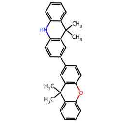 CC1(C)c2ccccc2Nc2ccc(-c3ccc4c(c3)C(C)(C)c3ccccc3O4)cc21